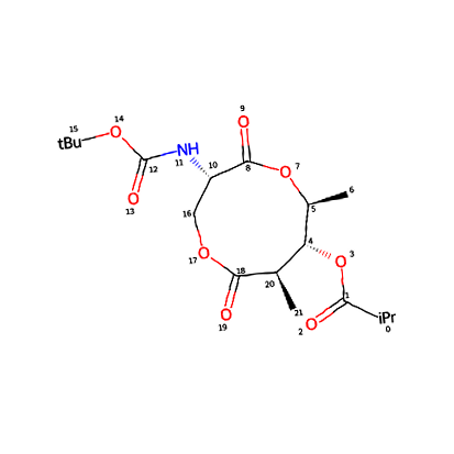 CC(C)C(=O)O[C@H]1[C@H](C)OC(=O)[C@@H](NC(=O)OC(C)(C)C)COC(=O)[C@@H]1C